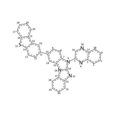 c1ccc2nc(-n3c4ccc(-c5ccc6sc7ccccc7c6c5)cc4n4c5ccccc5nc34)cnc2c1